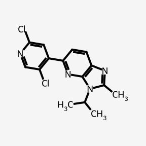 Cc1nc2ccc(-c3cc(Cl)ncc3Cl)nc2n1C(C)C